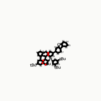 CC(C)(C)c1cc(-c2cccc3cccc(-c4ccccc4N(c4cccc(-c5ccc6c(c5)oc5ccccc56)c4)c4cc(C(C)(C)C)cc(C(C)(C)C)c4)c23)cc(C(C)(C)C)c1